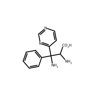 NC(C(=O)O)C(N)(c1ccccc1)c1ccncn1